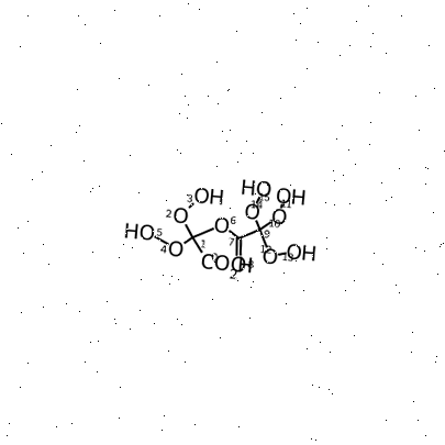 O=C(O)C(OO)(OO)OC(=O)C(OO)(OO)OO